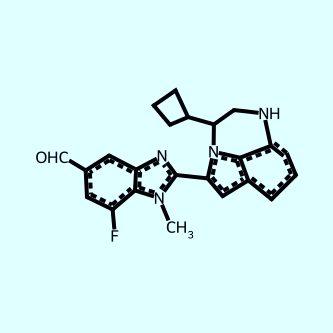 Cn1c(-c2cc3cccc4c3n2C(C2CCC2)CN4)nc2cc(C=O)cc(F)c21